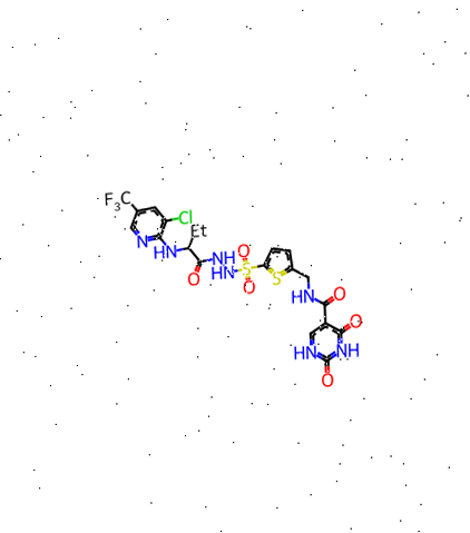 CCC(Nc1ncc(C(F)(F)F)cc1Cl)C(=O)NNS(=O)(=O)c1ccc(CNC(=O)c2c[nH]c(=O)[nH]c2=O)s1